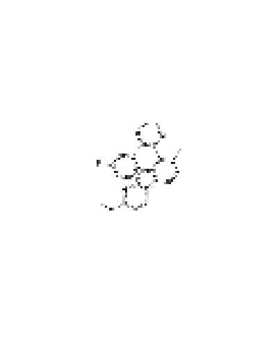 Cc1ccc2c(oc3nc(C(C)C)ccc32)c1-c1ncccc1-c1cccc(F)c1